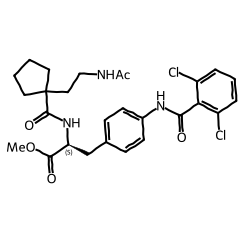 COC(=O)[C@H](Cc1ccc(NC(=O)c2c(Cl)cccc2Cl)cc1)NC(=O)C1(CCNC(C)=O)CCCC1